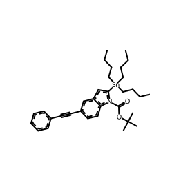 CCC[CH2][Sn]([CH2]CCC)([CH2]CCC)[c]1cc2cc(C#Cc3ccccc3)ccc2n1C(=O)OC(C)(C)C